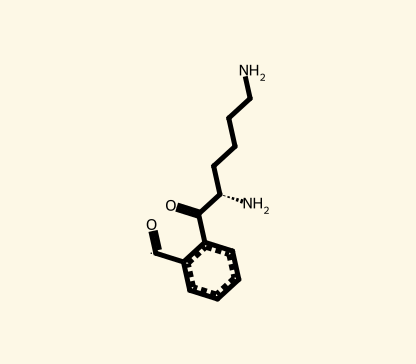 NCCCC[C@H](N)C(=O)c1ccccc1[C]=O